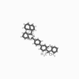 CC1(C)c2ccccc2Sc2cc(-c3ccc(-c4nc(-c5cccc6ccccc56)c5ccccc5n4)cc3)ccc21